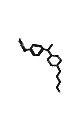 CCCCCC1CCC(C(C)c2ccc(N=C=S)cc2)CC1